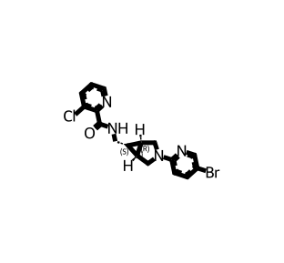 O=C(NC[C@@H]1[C@H]2CN(c3ccc(Br)cn3)C[C@@H]12)c1ncccc1Cl